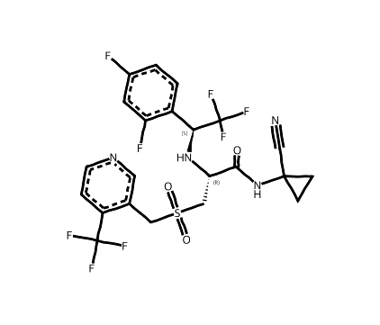 N#CC1(NC(=O)[C@H](CS(=O)(=O)Cc2cnccc2C(F)(F)F)N[C@@H](c2ccc(F)cc2F)C(F)(F)F)CC1